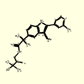 Cc1cc(-c2[nH]c3ccc(C(C)(C)C(=O)NCC(F)C(C)(C)O)cc3c2C(C)C)ccn1